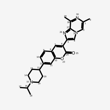 Cc1cn2cc(-c3cc4ccc(C5CCN(C(C)C)CC5)cc4oc3=O)nc2c(C)n1